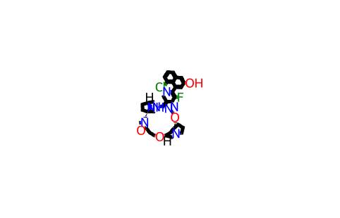 CN1C[C@@]23CC[C@@H](CN(C2)c2nc(nc4c(F)c(-c5cc(O)cc6cccc(Cl)c56)ncc24)OC[C@]24CCCN2C[C@@H](C4)OCCC1=O)N3